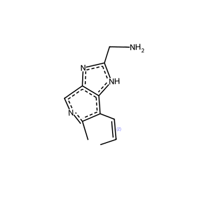 C/C=C\c1c(C)ncc2nc(CN)[nH]c12